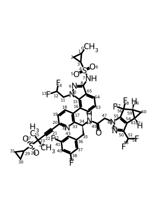 CC1CC1S(=O)(=O)Nc1nn(CC(F)F)c2c(-c3ccc(C#CC(C)(C)S(=O)(=O)C4CC4)nc3[C@H](Cc3cc(F)cc(F)c3)NC(=O)Cn3nc(C(F)F)c4c3C(F)(F)[C@@H]3C[C@H]43)cccc12